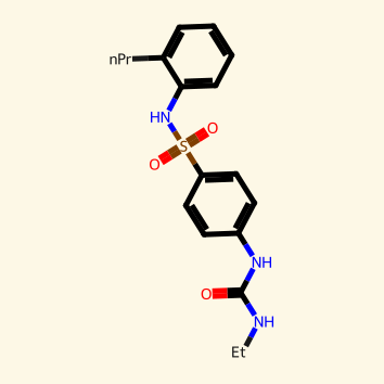 CCCc1ccccc1NS(=O)(=O)c1ccc(NC(=O)NCC)cc1